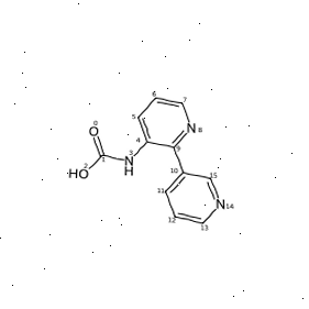 O=C(O)Nc1cccnc1-c1cccnc1